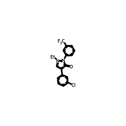 CCn1cc(-c2cccc(Cl)c2)c(=O)n1-c1cccc(C(F)(F)F)c1